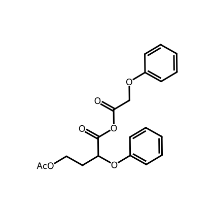 CC(=O)OCCC(Oc1ccccc1)C(=O)OC(=O)COc1ccccc1